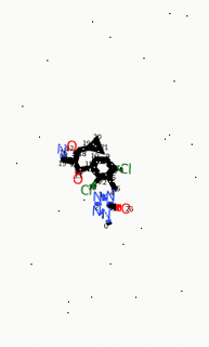 Cn1nnn(Cc2c(Cl)ccc(C(=O)c3cnoc3C3CC3)c2Cl)c1=O